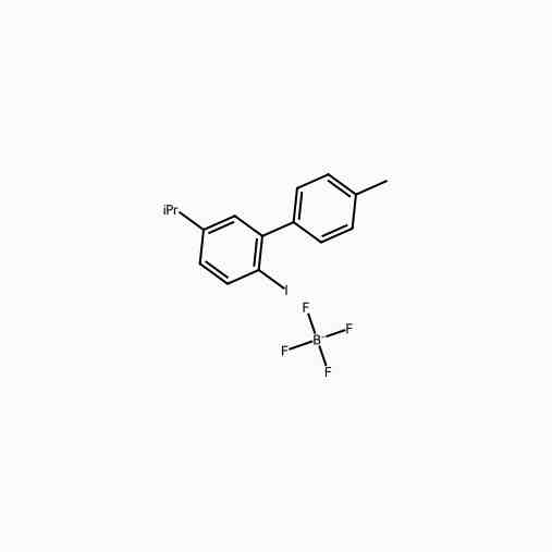 Cc1ccc(-c2cc(C(C)C)ccc2I)cc1.F[B-](F)(F)F